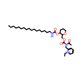 CCCCCCCCCCCCCCCCCNC(=O)OC1CCCOC1COC(=O)N(Cc1cccc[n+]1CC)C(C)=O